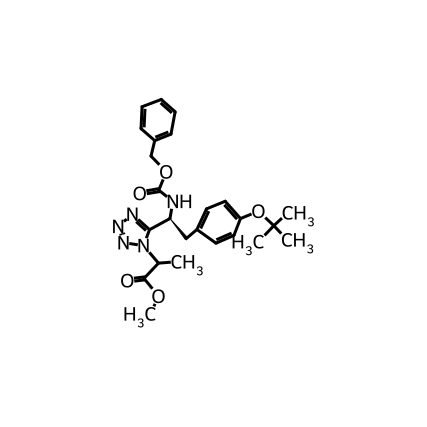 COC(=O)C(C)n1nnnc1[C@H](Cc1ccc(OC(C)(C)C)cc1)NC(=O)OCc1ccccc1